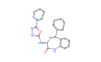 O=C1Nc2ccccc2C(c2ccccc2)=N[C@@H]1Nc1nnc(-c2ccccn2)o1